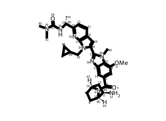 COc1cc(C(=O)N2[C@H]3CC[C@@H]2[C@H](N)C3)cc2nc(-c3cc4ccc([C@@H](C)NC(=O)N(C)C)nc4n3CC3CC3)n(C)c12